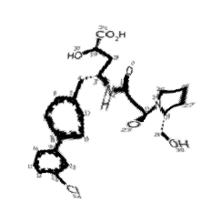 O=C(N[C@H](Cc1ccc(-c2cccc(Cl)c2)cc1)C[C@@H](O)C(=O)O)C(=O)N1CCC[C@@H]1CO